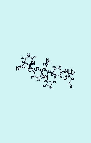 CCCS(=O)(=O)Nc1ccc(-c2c(C#N)c3cc(Oc4ncccc4C#N)ccc3n2C2CCC2)cc1